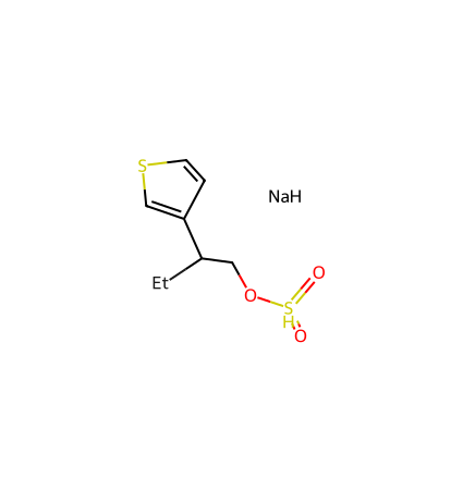 CCC(CO[SH](=O)=O)c1ccsc1.[NaH]